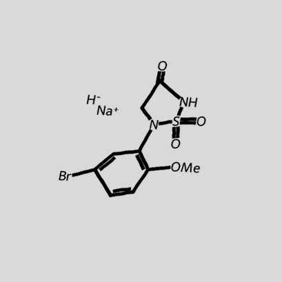 COc1ccc(Br)cc1N1CC(=O)NS1(=O)=O.[H-].[Na+]